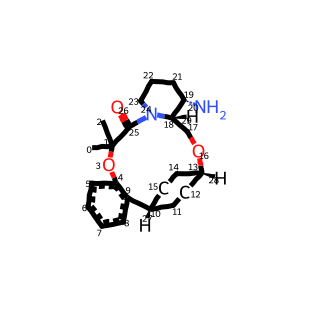 CC1(C)Oc2ccccc2[C@H]2CC[C@H](CC2)OC[C@H]2[C@@H](N)CCCN2C1=O